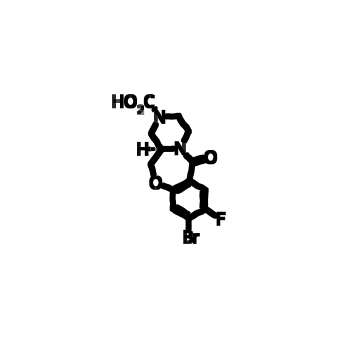 O=C(O)N1CCN2C(=O)c3cc(F)c(Br)cc3OC[C@H]2C1